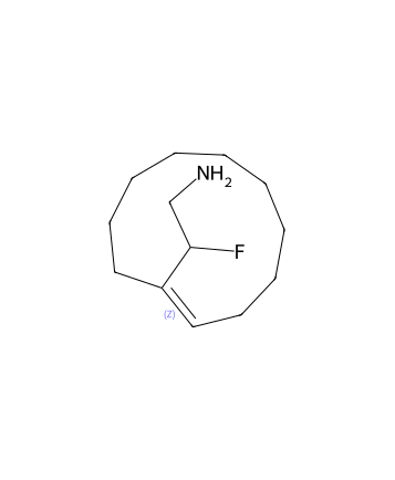 NCC(F)/C1=C\CCCCCCCCC1